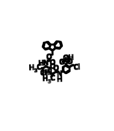 CC(NC(=O)[C@@H](NC(=O)OCC1c2ccccc2-c2ccccc21)C(C)C)C(=O)Nc1ccc(CCl)c(S(=O)(=O)O)c1